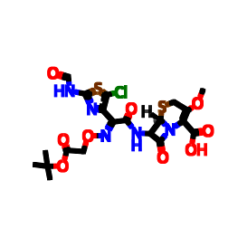 COC1=C(C(=O)O)N2C(=O)C(NC(=O)C(=NOCC(=O)OC(C)(C)C)c3nc(NC=O)sc3Cl)[C@@H]2SC1